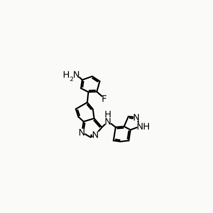 Nc1ccc(F)c(-c2ccc3ncnc(Nc4cccc5[nH]ncc45)c3c2)c1